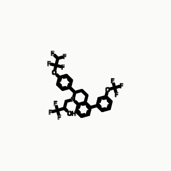 OC(CN1c2cccc(-c3cccc(OC(F)(F)F)c3)c2CCC1c1ccc(OC(F)(F)C(F)F)cc1)C(F)(F)F